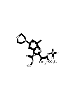 CCOC(=O)C(OS(C)(=O)=O)=C(C(=O)OCC)c1nc2c(C)cc(N3CCOCC3)cc2n1C(=O)OC(C)(C)C